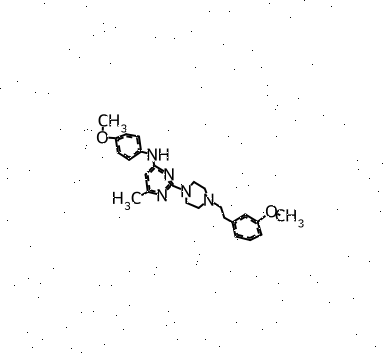 COc1ccc(Nc2cc(C)nc(N3CCN(CCc4cccc(OC)c4)CC3)n2)cc1